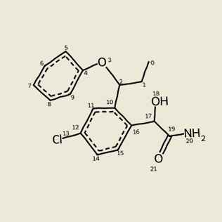 CCC(Oc1ccccc1)c1cc(Cl)ccc1C(O)C(N)=O